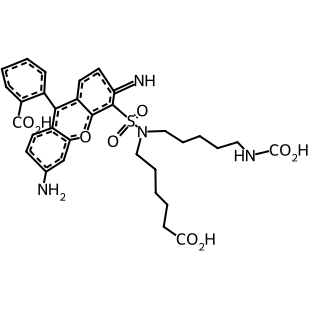 N=c1ccc2c(-c3ccccc3C(=O)O)c3ccc(N)cc3oc-2c1S(=O)(=O)N(CCCCCNC(=O)O)CCCCCC(=O)O